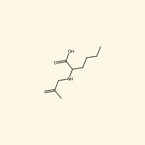 C=C(C)CNC(CCCC)C(=O)O